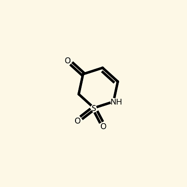 O=C1C=CNS(=O)(=O)C1